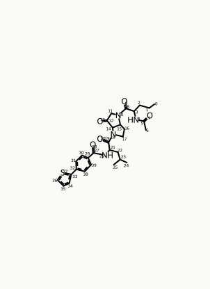 CCCC(NC(C)=O)C(=O)N1CC(=O)C2C1CCN2C(=O)C(CC(C)C)NC(=O)c1ccc(-c2cccs2)cc1